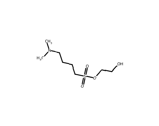 CN(C)CCCCS(=O)(=O)OCCO